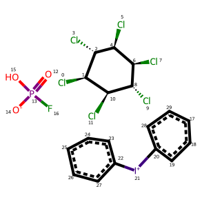 Cl[C@H]1[C@H](Cl)[C@@H](Cl)[C@@H](Cl)[C@H](Cl)[C@H]1Cl.O=P([O-])(O)F.c1ccc([I+]c2ccccc2)cc1